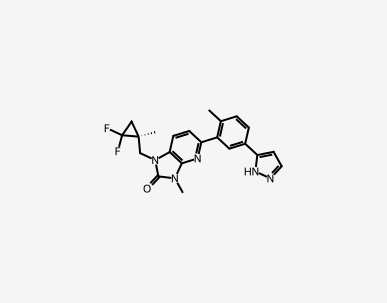 Cc1ccc(-c2ccn[nH]2)cc1-c1ccc2c(n1)n(C)c(=O)n2C[C@]1(C)CC1(F)F